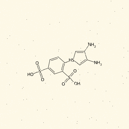 NC1=C[SH](c2ccc(S(=O)(=O)O)cc2S(=O)(=O)O)C=C1N